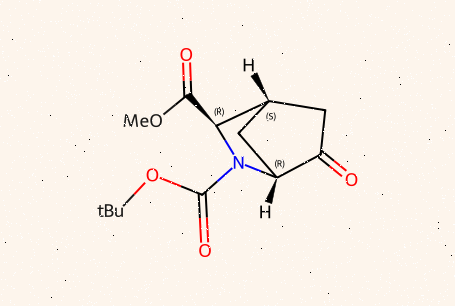 COC(=O)[C@H]1[C@@H]2CC(=O)[C@@H](C2)N1C(=O)OC(C)(C)C